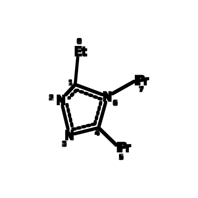 CCc1nnc(C(C)C)n1C(C)C